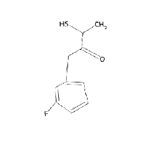 CC(S)C(=O)Cc1cccc(F)c1